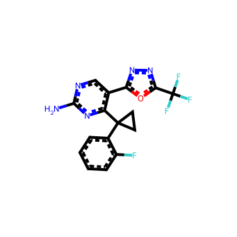 Nc1ncc(-c2nnc(C(F)(F)F)o2)c(C2(c3ccccc3F)CC2)n1